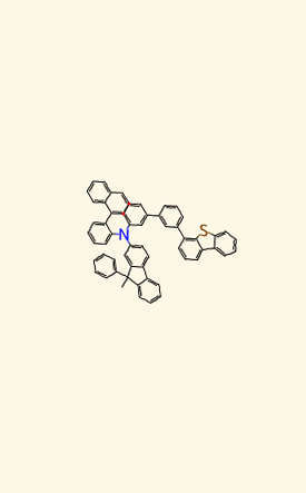 CC1(c2ccccc2)c2ccccc2-c2ccc(N(c3cccc(-c4cccc(-c5cccc6c5sc5ccccc56)c4)c3)c3ccccc3-c3cccc4ccccc34)cc21